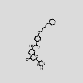 O=C(Nc1ccc2c(=O)cc(-c3nn[nH]n3)oc2c1)c1ccc(OCCCCC2=CCCC=C2)cc1